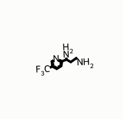 NCCC(N)c1ccc(C(F)(F)F)cn1